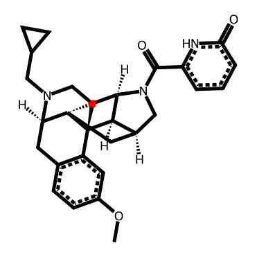 COc1ccc2c(c1)[C@]13CCN(CC4CC4)[C@H](C2)[C@]12CC[C@@H]1[C@H]3[C@@H](CN1C(=O)c1cccc(=O)[nH]1)C2